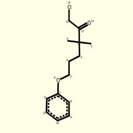 CC(C)(CCCOc1ccccc1)C(=O)CCl